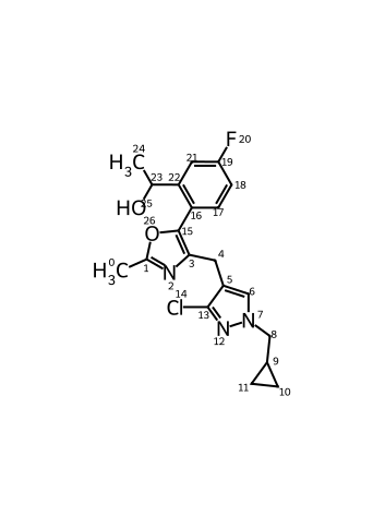 Cc1nc(Cc2cn(CC3CC3)nc2Cl)c(-c2ccc(F)cc2C(C)O)o1